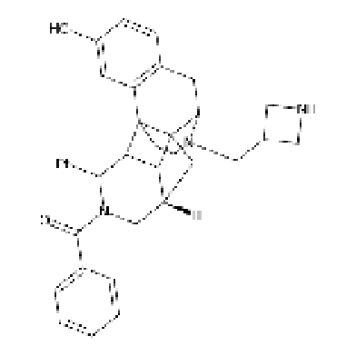 CCC1C2C3[C@@H](CN1C(=O)c1ccccc1)CC31C3Cc4ccc(O)cc4C21CCN3CC1CNC1